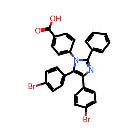 O=C(O)c1ccc(-n2c(-c3ccccc3)nc(-c3ccc(Br)cc3)c2-c2ccc(Br)cc2)cc1